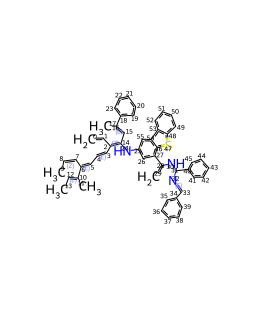 C=CC(/C=C/C=C(\C=C/C)C(/C)=C/C)=C(\C=C(/C)c1ccccc1)Nc1cc(C(=C)NC(/N=C/c2ccccc2)c2ccccc2)c2sc3ccccc3c2c1